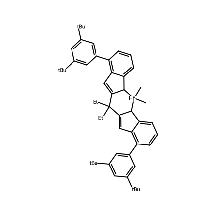 CCC1(CC)C2=Cc3c(-c4cc(C(C)(C)C)cc(C(C)(C)C)c4)cccc3[CH]2[Hf]([CH3])([CH3])[CH]2C1=Cc1c(-c3cc(C(C)(C)C)cc(C(C)(C)C)c3)cccc12